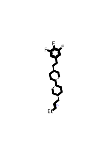 CC/C=C/C[C@H]1CC[C@H]([C@H]2CC[C@H](CCc3cc(F)c(F)c(F)c3)CC2)CC1